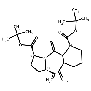 C=CC1CCCN(C(=O)OC(C)(C)C)C1C(=O)N1[C@@H](C=C)CC[C@H]1C(=O)OC(C)(C)C